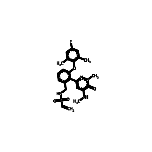 C=CS(=O)(=O)NCc1cccc(Oc2c(C)cc(F)cc2C)c1-c1cc(NC)c(=O)n(C)n1